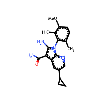 COc1ccc(C)c(-n2c(N)c(C(N)=O)c3cc(C4CC4)cnc32)c1C